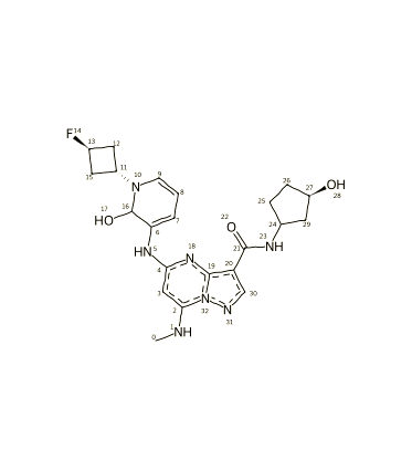 CNc1cc(NC2=CC=CN([C@H]3C[C@H](F)C3)C2O)nc2c(C(=O)NC3CC[C@@H](O)C3)cnn12